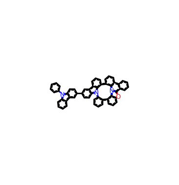 O=c1c2ccccc2c2cccc3c4cccc5c6cc(-c7ccc8c(c7)c7ccccc7n8-c7ccccc7)ccc6n(c6ccccc6c6ccccc6n1c23)c45